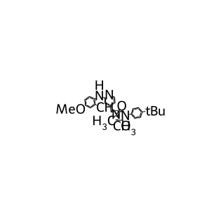 COc1ccc(Nc2cc(CN3C(=O)N(c4ccc(C(C)(C)C)cc4)C(=O)C3(C)C)ccn2)c(C)c1